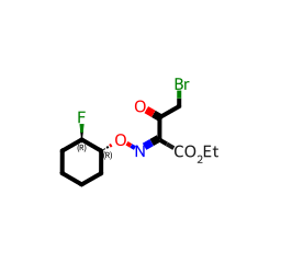 CCOC(=O)C(=NO[C@@H]1CCCC[C@H]1F)C(=O)CBr